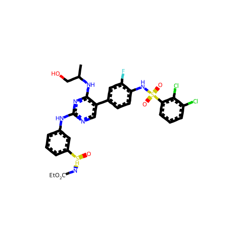 CCOC(=O)/N=[SH](=O)\c1cccc(Nc2ncc(-c3ccc(NS(=O)(=O)c4cccc(Cl)c4Cl)c(F)c3)c(NC(C)CO)n2)c1